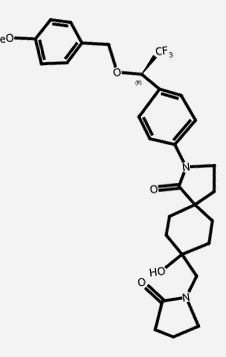 COc1ccc(CO[C@H](c2ccc(N3CCC4(CCC(O)(CN5CCCC5=O)CC4)C3=O)cc2)C(F)(F)F)cc1